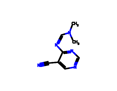 CN(C)/C=N\c1ncncc1C#N